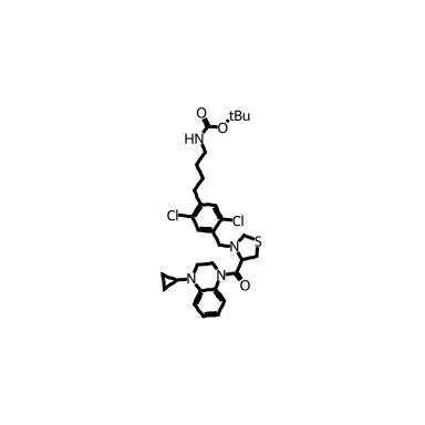 CC(C)(C)OC(=O)NCCCCc1cc(Cl)c(CN2CSCC2C(=O)N2CCN(C3CC3)c3ccccc32)cc1Cl